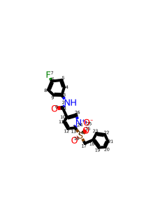 O=C(Nc1ccc(F)cc1)c1ccc(S(=O)(=O)Cc2ccccc2)[n+]([O-])c1